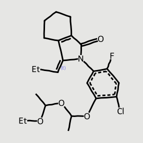 CC/C=C1\C2=C(CCCC2)C(=O)N1c1cc(OC(C)OC(C)OCC)c(Cl)cc1F